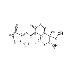 C=C1CCC2C([C@@H](C)C[C@@H](O)[C@@]2(C)CO)[C@H]1C/C=C1/C(=O)OC[C@H]1O